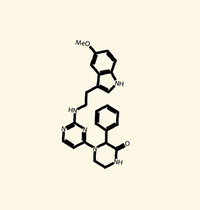 COc1ccc2[nH]cc(CCNc3nccc(N4CCNC(=O)C4c4ccccc4)n3)c2c1